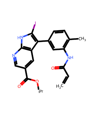 C=CC(=O)Nc1cc(-c2c(I)[nH]c3ncc(C(=O)OC(C)C)cc23)ccc1C